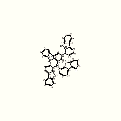 c1ccc2c(c1)B1c3ccc4c(sc5ccccc54)c3N(c3cccc4c3sc3ccccc34)c3cc(-c4cccc5c4sc4ccccc45)cc-2c31